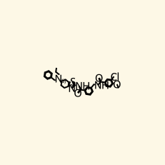 CCCN(Cc1ccccc1)[C@H]1CCc2nc(NC(=O)c3cccc(CNC(=O)c4ccc(OC)c(Cl)c4)c3)sc2C1